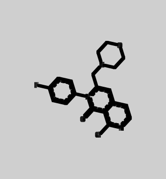 O=c1c2c(Cl)nccc2cc(CN2CCOCC2)n1-c1ccc(F)cc1